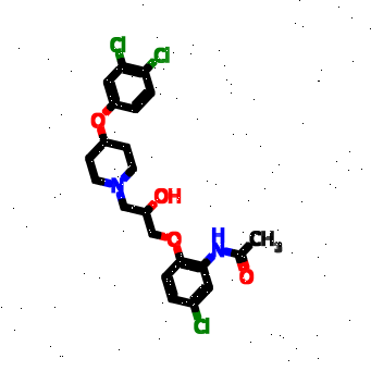 CC(=O)Nc1cc(Cl)ccc1OCC(O)CN1CCC(Oc2ccc(Cl)c(Cl)c2)CC1